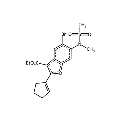 CCOC(=O)c1c(C2=CCCC2)oc2cc(N(C)S(C)(=O)=O)c(Br)cc12